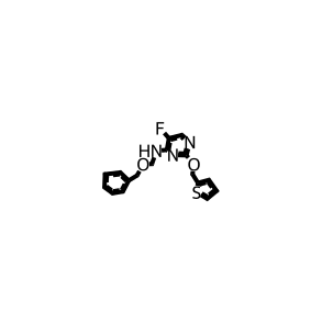 Fc1cnc(OCc2cccs2)nc1NCOCc1ccccc1